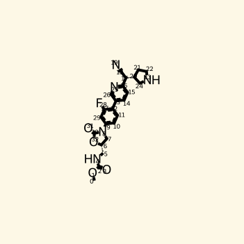 COC(=O)NC[C@H]1CN(c2ccc(-c3ccc(C(C#N)[C@@H]4CCNC4)nc3)c(F)c2)C(=O)O1